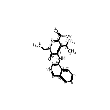 CCn1nc(C(=O)O)c(C(C)C)c(Nc2cncc3ccccc23)c1=O